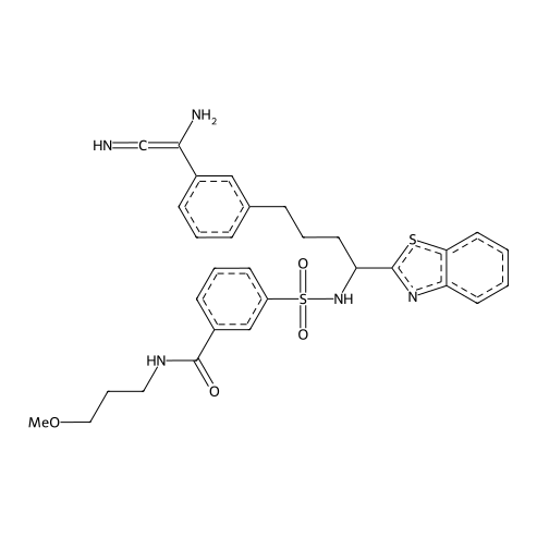 COCCCNC(=O)c1cccc(S(=O)(=O)NC(CCCc2cccc(C(N)=C=N)c2)c2nc3ccccc3s2)c1